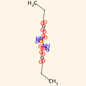 CCCCCCCC/C=C\CCCCCCCC(=O)Oc1ccc(CC(=O)OCCOC(=O)C(CSSCC(NC(=O)CN2CCCCC2)C(=O)OCCOC(=O)Cc2ccc(OC(=O)CCCCCCC/C=C\CCCCCCCC)cc2)NC(=O)CN2CCCCC2)cc1